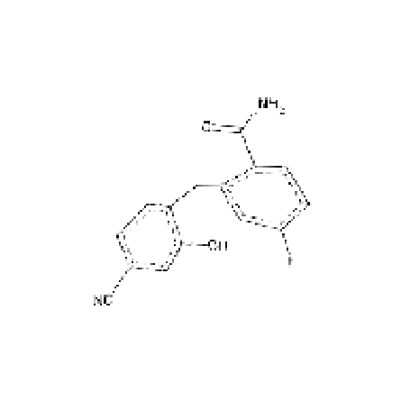 N#Cc1ccc(Cc2cc(F)ccc2C(N)=O)c(O)c1